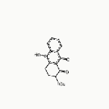 CCCCC1CCc2c(c(=O)c3ccccc3n2O)C1=O